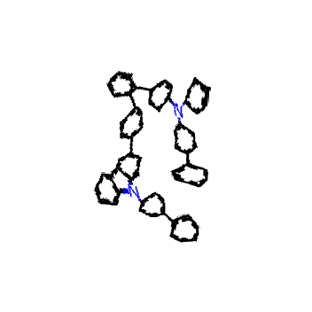 c1ccc(-c2ccc(N(c3ccccc3)c3ccc(-c4ccccc4-c4ccc(-c5ccc6c(c5)c5ccccc5n6-c5ccc(-c6ccccc6)cc5)cc4)cc3)cc2)cc1